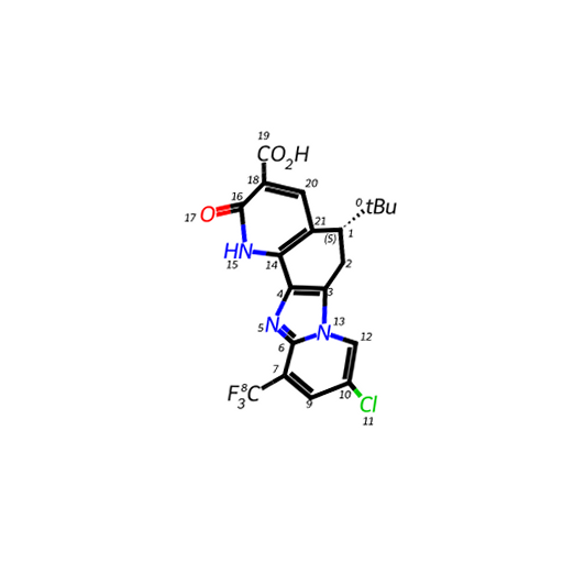 CC(C)(C)[C@@H]1Cc2c(nc3c(C(F)(F)F)cc(Cl)cn23)-c2[nH]c(=O)c(C(=O)O)cc21